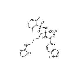 Cc1cccc(C)c1S(=O)(=O)NC(CCCCNC1=NCCN1)(NC(=O)c1ccc2[nH]ncc2c1)C(=O)O